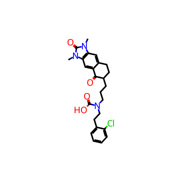 Cn1c(=O)n(C)c2cc3c(cc21)CCC(CCCN(CCc1ccccc1Cl)C(=O)O)C3=O